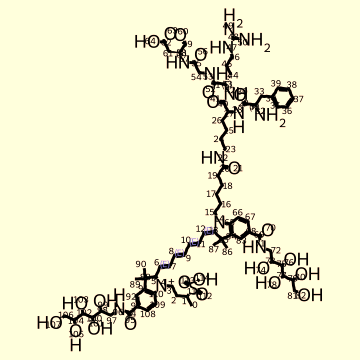 CC(CC[N+]1=C(/C=C/C=C/C=C/C=C2/N(CCCCCC(=O)NCCCCC(NC(=O)[C@H](N)Cc3ccccc3)C(=O)N[C@@H](CCCNC(N)N)C(=O)NCC(=O)N[C@H](C=O)CC(=O)O)c3ccc(C(=O)NCC(O)C(O)C(O)C(O)CO)cc3C2(C)C)C(C)(C)c2cc(C(=O)NCC(O)C(O)C(O)C(O)CO)ccc21)S(=O)(=O)O